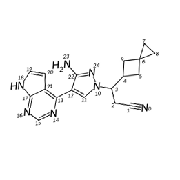 N#CCC(C1CC2(CC2)C1)n1cc(-c2ncnc3[nH]ccc23)c(N)n1